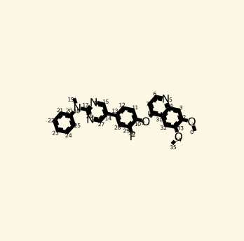 COc1cc2nccc(Oc3ccc(-c4cnc(N(C)c5ccccc5)nc4)cc3F)c2cc1OC